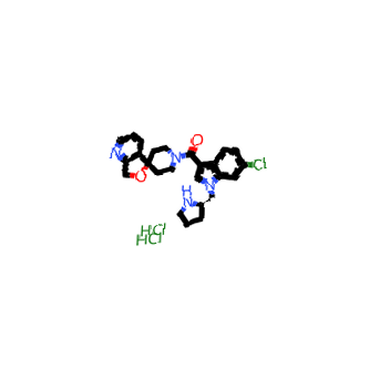 Cl.Cl.O=C(c1cn(C[C@@H]2CCCN2)c2cc(Cl)ccc12)N1CCC2(CC1)OCc1ncccc12